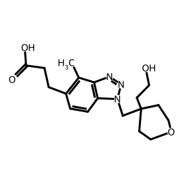 Cc1c(CCC(=O)O)ccc2c1nnn2CC1(CCO)CCOCC1